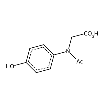 CC(=O)N(CC(=O)O)c1ccc(O)cc1